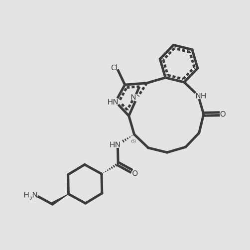 NC[C@H]1CC[C@H](C(=O)N[C@H]2CCCCC(=O)Nc3ccccc3-c3nc2[nH]c3Cl)CC1